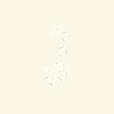 C[C@H](F)c1coc(=O)n1-c1nc(N[C@@H](C)c2ccc(-c3ccnc(C(F)(F)F)c3)cn2)ncc1F